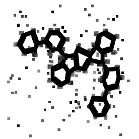 C1=C(c2ccccc2)N=C(n2c3ccccc3c3cc4c(cc32)c2ccccc2n4-c2cccc(-c3ccccn3)n2)CC1